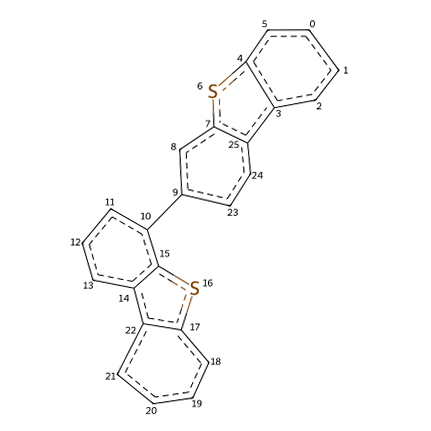 c1ccc2c(c1)sc1cc(-c3cccc4c3sc3ccccc34)ccc12